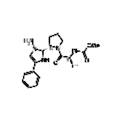 COC(=O)N[C@H](C(=O)N1CCC[C@H]1C1NC(c2ccccc2)=CN1N)C(C)C